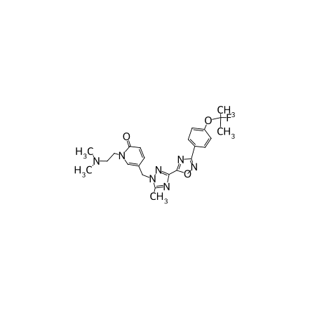 Cc1nc(-c2nc(-c3ccc(OC(C)(C)F)cc3)no2)nn1Cc1ccc(=O)n(CCN(C)C)c1